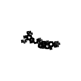 CC1=Cc2cn(CC(=O)[C@H]3CC[C@H]4[C@@H]5CC[C@@H]6C[C@](C)(O)CC[C@@H]6[C@H]5CCC34C)nc2C(C)N1